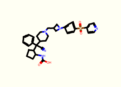 N#CC(c1ccccc1)(C1CCN(CC2CN(c3ccc(S(=O)(=O)c4ccncc4)cc3)C2)CC1)C1CCCC1NC(=O)O